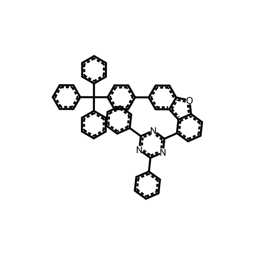 c1ccc(-c2nc(-c3ccccc3)nc(-c3cccc4oc5ccc(-c6ccc(C(c7ccccc7)(c7ccccc7)c7ccccc7)cc6)cc5c34)n2)cc1